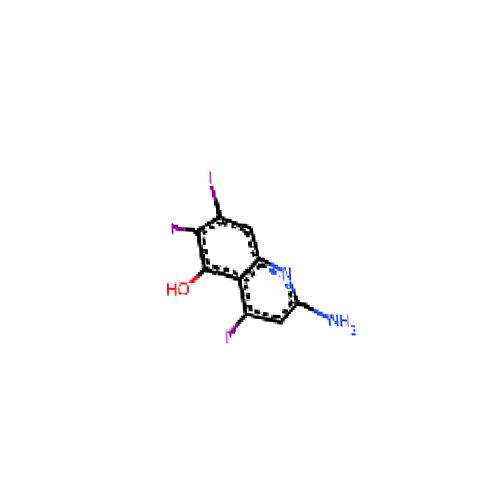 Nc1cc(I)c2c(O)c(I)c(I)cc2n1